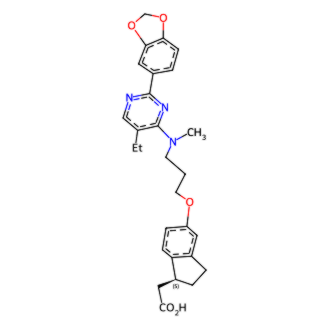 CCc1cnc(-c2ccc3c(c2)OCO3)nc1N(C)CCCOc1ccc2c(c1)CC[C@H]2CC(=O)O